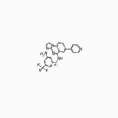 C[C@@H](Nc1nc2nccn2c2ccc(-c3ccncc3)cc12)c1cc(N)cc(C(F)(F)F)c1